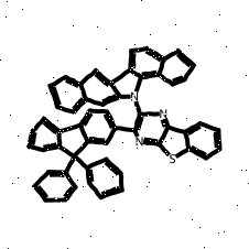 c1ccc(C2(c3ccccc3)c3ccccc3-c3ccc(-c4nc5sc6ccccc6c5nc4-n4c5cc6ccccc6cc5c5ccc6ccccc6c54)cc32)cc1